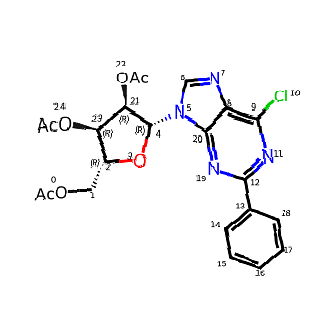 CC(=O)OC[C@H]1O[C@@H](n2cnc3c(Cl)nc(-c4ccccc4)nc32)[C@H](OC(C)=O)[C@@H]1OC(C)=O